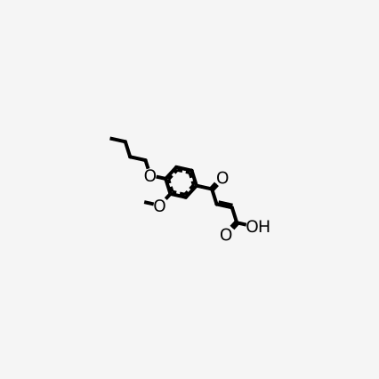 CCCCOc1ccc(C(=O)C=CC(=O)O)cc1OC